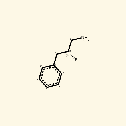 NC[C@H](F)Cc1ccccc1